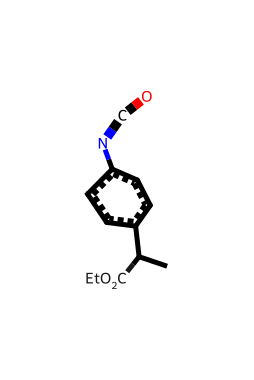 CCOC(=O)C(C)c1ccc(N=C=O)cc1